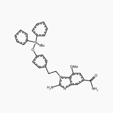 COc1cc(C(N)=O)cc2nc(N)n(CCc3ccc(O[Si](c4ccccc4)(c4ccccc4)C(C)(C)C)cc3)c12